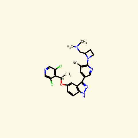 C[C@@H](Oc1ccc2[nH]nc(-c3cnc(N4CCC4CN(C)C)c(C#N)c3)c2c1)c1c(Cl)cncc1Cl